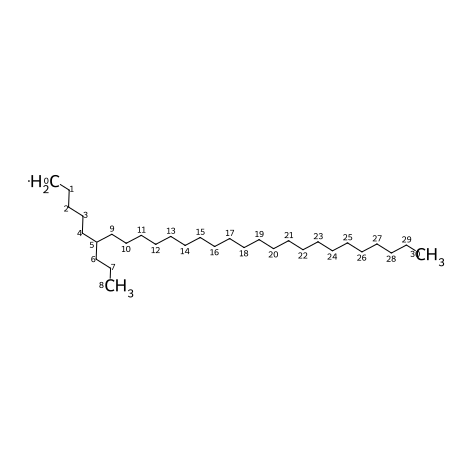 [CH2]CCCCC(CCC)CCCCCCCCCCCCCCCCCCCCCC